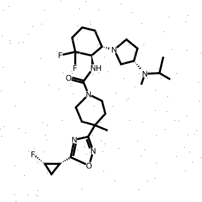 CC(C)N(C)[C@H]1CCN([C@H]2CCCC(F)(F)[C@@H]2NC(=O)N2CCC(C)(c3noc([C@@H]4C[C@@H]4F)n3)CC2)C1